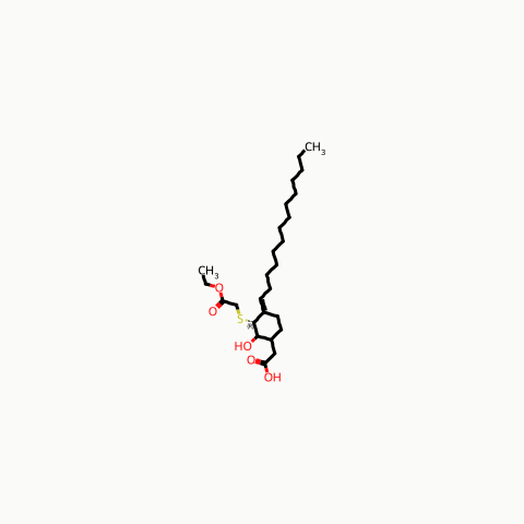 CCCCCCCCCCCCCC=C1CCC(CC(=O)O)C(O)[C@@H]1SCC(=O)OCC